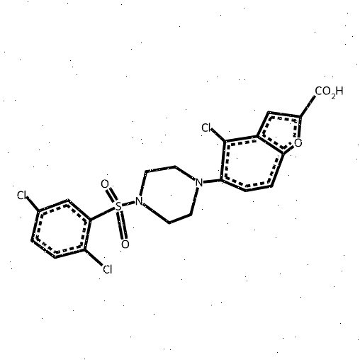 O=C(O)c1cc2c(Cl)c(N3CCN(S(=O)(=O)c4cc(Cl)ccc4Cl)CC3)ccc2o1